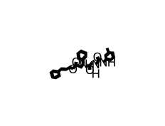 Cc1cccc(NC(=O)NCC(=O)N(CC(=O)OC/C=C/c2ccccc2)c2ccccc2)c1